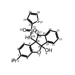 CC(C)c1ccc2c(c1)OC1(O)c3ccccc3C(=O)C21NS(=O)(=O)c1cccs1